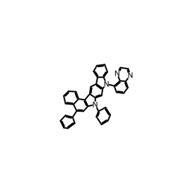 c1ccc(-c2cc3c(c4ccccc24)c2cc4c5ccccc5n(-c5cccc6nccnc56)c4cc2n3-c2ccccc2)cc1